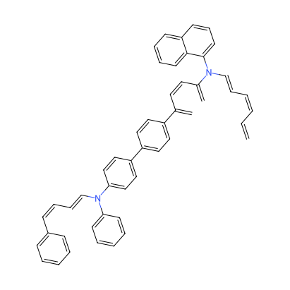 C=C/C=C\C=C\N(C(=C)/C=C\C(=C)c1ccc(-c2ccc(N(/C=C/C=C\c3ccccc3)c3ccccc3)cc2)cc1)c1cccc2ccccc12